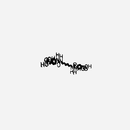 O=C(NCCCCCCNC(=O)Nc1ccc(CP(=O)(O)O)cc1)Nc1ccc(CP(=O)(O)O)cc1